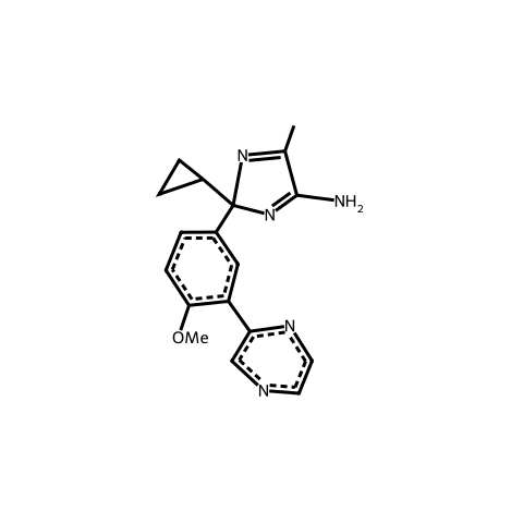 COc1ccc(C2(C3CC3)N=C(C)C(N)=N2)cc1-c1cnccn1